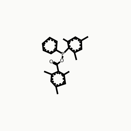 Cc1cc(C)c(C(=O)OP(c2ccccc2)c2c(C)cc(C)cc2C)c(C)c1